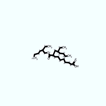 CCCCC(CC)COC(=O)C(CCCCCCCC(=O)O)CC(CC)CCCC